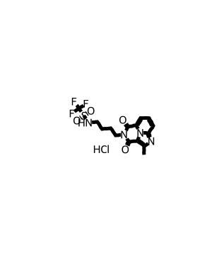 Cc1nc2cccc3c(=O)n(CCCCNS(=O)(=O)C(F)(F)F)c(=O)c1n23.Cl